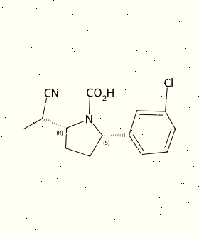 CC(C#N)[C@H]1CC[C@@H](c2cccc(Cl)c2)N1C(=O)O